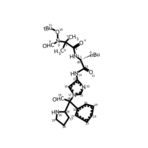 CCCC[C@@H](NC(=O)C(C)(C)N(C=O)OC(C)(C)C)C(=O)Nc1cn(C(C=O)(c2ccccc2)C2CCCN2)cn1